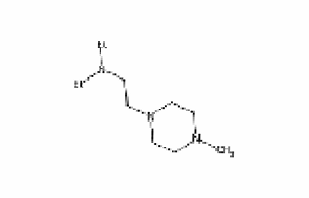 CCN(CC)CCN1CCN(C)CC1